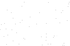 CCC(C)OCC=CCl